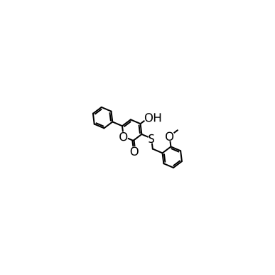 COc1ccccc1CSc1c(O)cc(-c2ccccc2)oc1=O